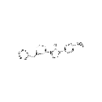 O=C1N(C2=CCCN(Cc3ccccc3)C2)CCN1c1ccc([N+](=O)[O-])cc1